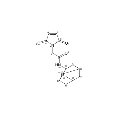 O=C(CN1C(=O)C=CC1=O)NC12CC3CC(CC(C3)O1)C2